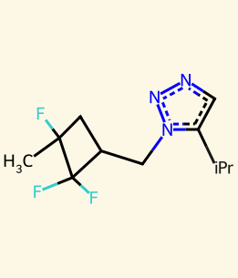 CC(C)c1cnnn1CC1CC(C)(F)C1(F)F